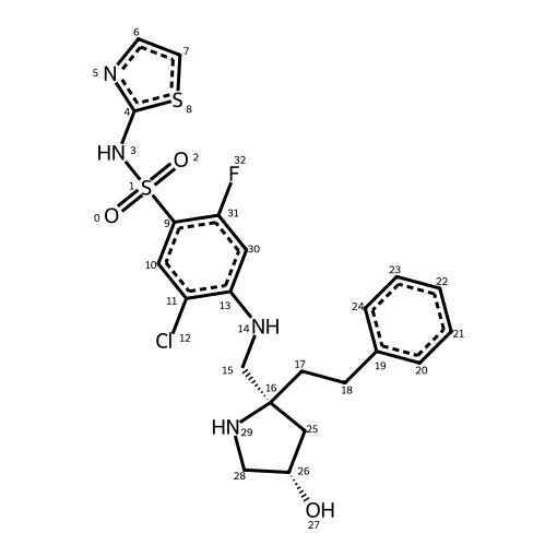 O=S(=O)(Nc1nccs1)c1cc(Cl)c(NC[C@]2(CCc3ccccc3)C[C@H](O)CN2)cc1F